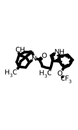 CC(CC(=O)N1C2CC3(C)CC1CC(C)(C2)C3)c1c[nH]c2cccc(OC(F)(F)F)c12